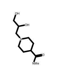 CNC(=O)C1CCN(CC(O)CO)CC1